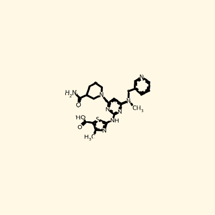 Cc1nc(Nc2nc(N(C)Cc3cccnc3)cc(N3CCCC(C(N)=O)C3)n2)sc1C(=O)O